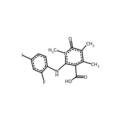 Cc1c(C(=O)O)c(Nc2ccc(I)cc2F)n(C)c(=O)c1C